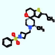 CCc1cc2c(s1)CCO[C@@]21CCN(CC2CN(S(=O)(=O)c3ccccc3)C2)[C@@H](C)C1